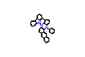 c1ccc(-n2c3cccc4c3-n(c3ccc5cc6ccccc6cc5c32)n2c3ccccc3c3cccc4c32)cc1